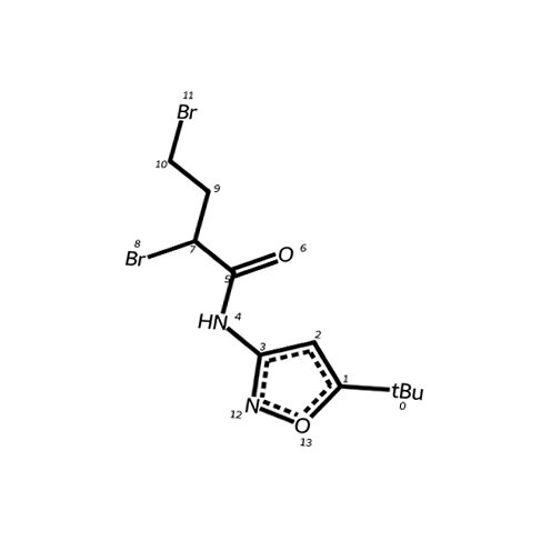 CC(C)(C)c1cc(NC(=O)C(Br)CCBr)no1